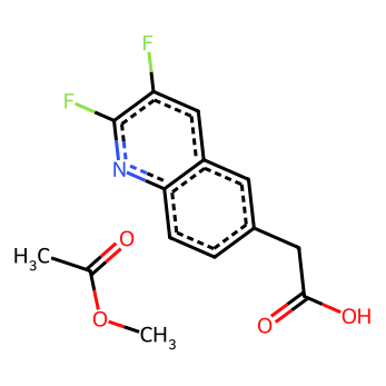 COC(C)=O.O=C(O)Cc1ccc2nc(F)c(F)cc2c1